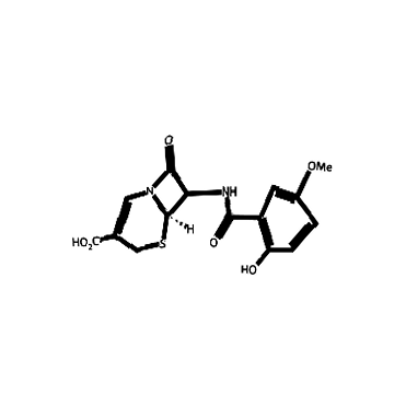 COc1ccc(O)c(C(=O)NC2C(=O)N3C=C(C(=O)O)CS[C@H]23)c1